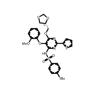 COc1ccccc1Oc1c(NS(=O)(=O)c2ccc(C(C)(C)C)cc2)nc(-c2cccs2)nc1OC[C@@H]1COCO1